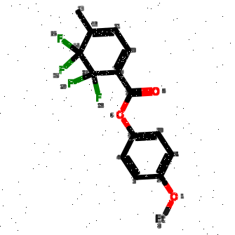 CCOc1ccc(OC(=O)C2=CC=C(C)C(F)(F)C2(F)F)cc1